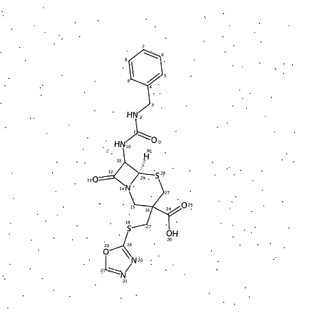 O=C(NCc1ccccc1)NC1C(=O)N2CC(CSc3nnco3)(C(=O)O)CS[C@H]12